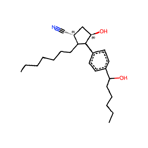 CCCCCCCC1C(c2ccc(C(O)CCCCC)cc2)[C@H](O)C[C@H]1C#N